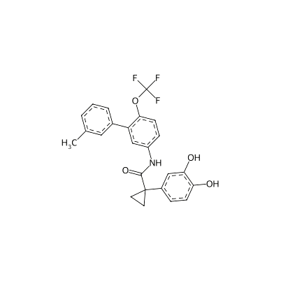 Cc1cccc(-c2cc(NC(=O)C3(c4ccc(O)c(O)c4)CC3)ccc2OC(F)(F)F)c1